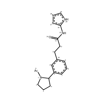 CC(=O)N1CCCC1c1cccc(CCC(=O)Nc2nnc[nH]2)c1